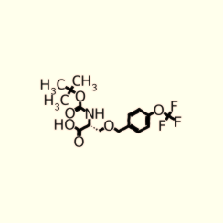 CC(C)(C)OC(=O)N[C@H](COCc1ccc(OC(F)(F)F)cc1)C(=O)O